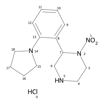 Cl.O=[N+]([O-])N1CCNCC1c1ccccc1N1CCCC1